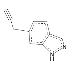 C#CCc1ccc2cn[nH]c2c1